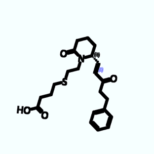 O=C(O)CCCSCCN1C(=O)CCC[C@@H]1/C=C/C(=O)CCc1ccccc1